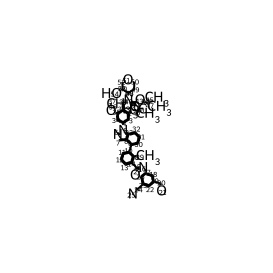 COc1cc(-n2ncc3c(-c4cccc(-c5nc6cc(C=O)cc(C#N)c6o5)c4C)cccc32)cc(OC)c1CN(C(=O)OC(C)(C)C)[C@@H]1CCOC[C@@H]1O